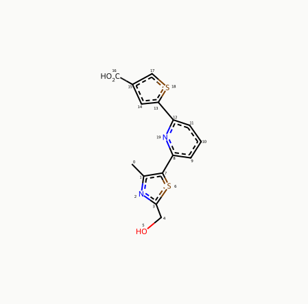 Cc1nc(CO)sc1-c1cccc(-c2cc(C(=O)O)cs2)n1